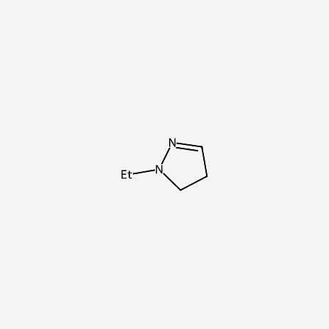 [CH2]CN1CCC=N1